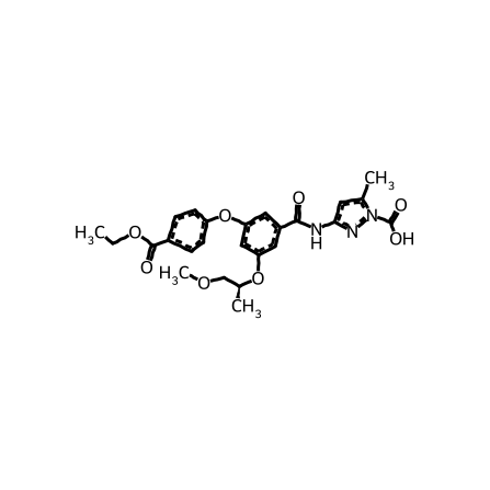 CCOC(=O)c1ccc(Oc2cc(O[C@@H](C)COC)cc(C(=O)Nc3cc(C)n(C(=O)O)n3)c2)cc1